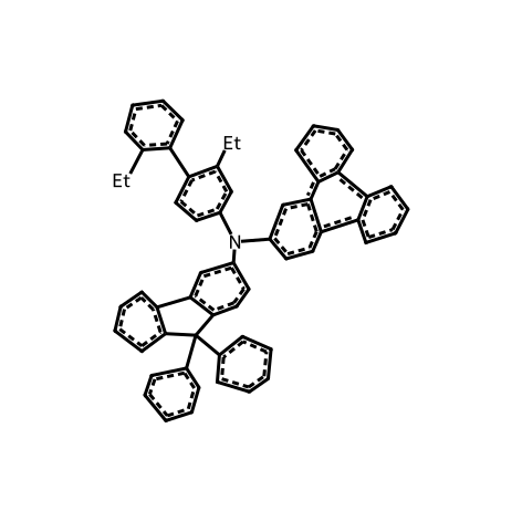 CCc1ccccc1-c1ccc(N(c2ccc3c(c2)-c2ccccc2C3(c2ccccc2)c2ccccc2)c2ccc3c4ccccc4c4ccccc4c3c2)cc1CC